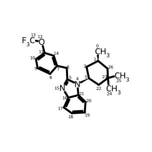 C[C@@H]1C[C@H](n2c(Cc3cccc(OC(F)(F)F)c3)nc3ccccc32)CC(C)(C)C1